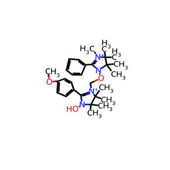 COc1ccc(C2=[N+](CON3C(c4ccccc4)=[N+](C)C(C)(C)C3(C)C)C(C)(C)C(C)(C)N2O)cc1